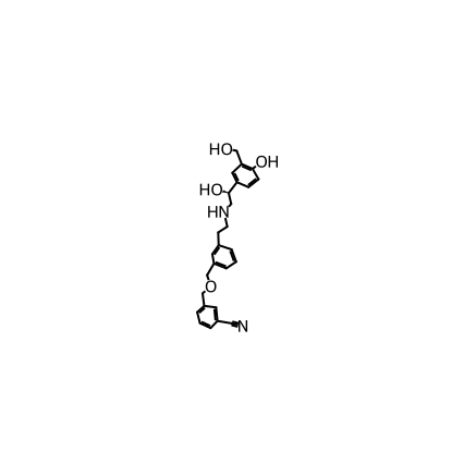 N#Cc1cccc(COCc2cccc(CCNC[C@@H](O)c3ccc(O)c(CO)c3)c2)c1